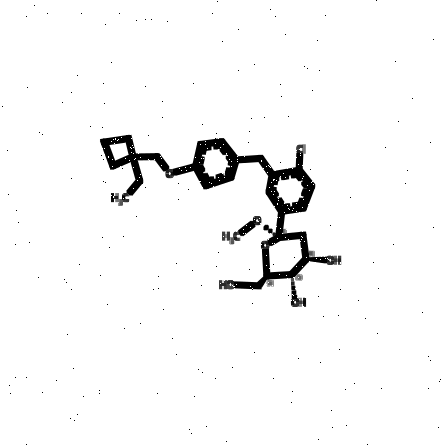 CCC1(COc2ccc(Cc3cc([C@@]4(OC)C[C@@H](O)[C@H](O)[C@@H](CO)O4)ccc3Cl)cc2)CCC1